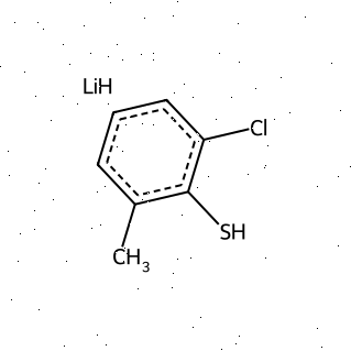 Cc1cccc(Cl)c1S.[LiH]